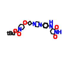 CC(C)(C)OC(=O)N1CCC(O[C@H]2C[C@H](N3CCN(c4ccc(NC5CCC(=O)NC5=O)cc4)CC3)C2)CC1